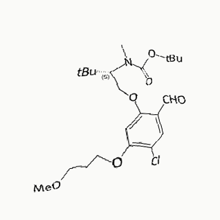 COCCCOc1cc(OC[C@@H](N(C)C(=O)OC(C)(C)C)C(C)(C)C)c(C=O)cc1Cl